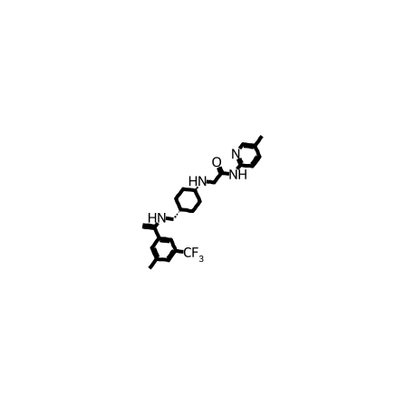 C=C(NC[C@H]1CC[C@@H](NCC(=O)Nc2ccc(C)cn2)CC1)c1cc(C)cc(C(F)(F)F)c1